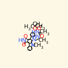 CC(Cn1c2ccccc2c2c3c(c4c5ccccc5n(C)c4c21)C(=O)NC3=O)NC(=O)[C@H](C)NC(=O)OC(C)(C)C